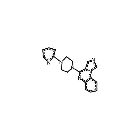 c1ccc(N2CCN(c3nc4ccccc4n4cncc34)CC2)nc1